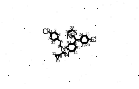 Clc1ccc(CCn2c(C3CC3)nc3ccc(C(c4ccc(Cl)cc4)c4nccs4)cc32)cc1